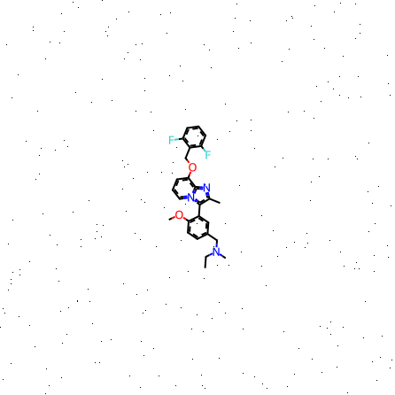 CCN(C)Cc1ccc(OC)c(-c2c(C)nc3c(OCc4c(F)cccc4F)cccn23)c1